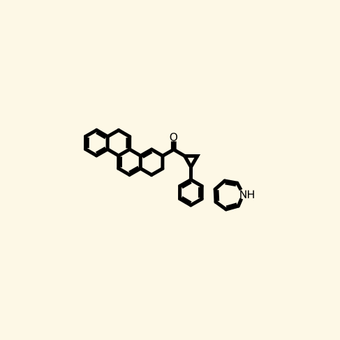 C1=CC=CNC=C1.O=C(C1C=c2c(ccc3c2=CCc2ccccc2-3)CC1)C1CC1c1ccccc1